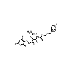 CN1CC2CC1CN2CCCNC(=O)Nc1snc(OCc2c(F)cc(Cl)cc2F)c1OC(N)=O